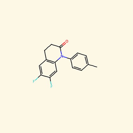 Cc1ccc(N2C(=O)CCc3cc(F)c(F)cc32)cc1